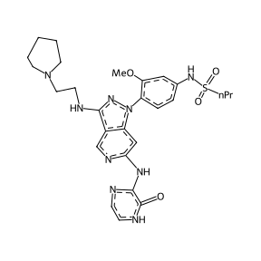 CCCS(=O)(=O)Nc1ccc(-n2nc(NCCN3CCCCC3)c3cnc(Nc4ncc[nH]c4=O)cc32)c(OC)c1